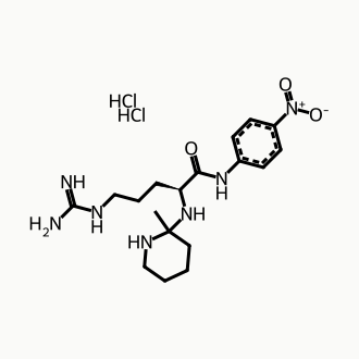 CC1(N[C@@H](CCCNC(=N)N)C(=O)Nc2ccc([N+](=O)[O-])cc2)CCCCN1.Cl.Cl